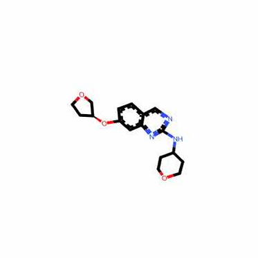 c1cc2cnc(NC3CCOCC3)nc2cc1O[C@H]1CCOC1